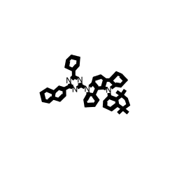 CC1(C)CCC(C)(C)c2c(-n3c4ccccc4c4ccc5c(c6ccccc6n5-c5nc(-c6ccccc6)nc(-c6ccc7ccccc7c6)n5)c43)cccc21